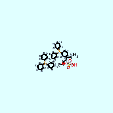 CCCCCCC.O=S(=O)(O)O.c1ccc(P(c2ccccc2)c2ccccc2)cc1.c1ccc(P(c2ccccc2)c2ccccc2)cc1